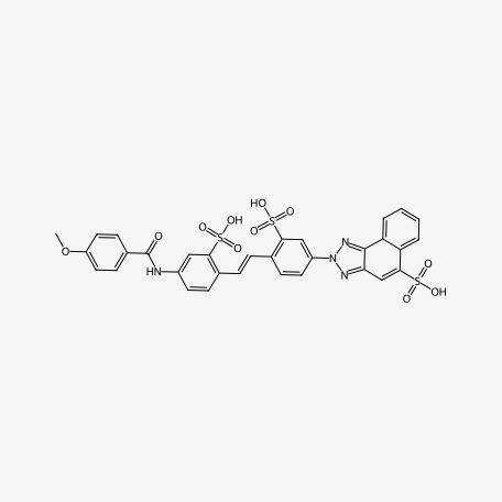 COc1ccc(C(=O)Nc2ccc(/C=C/c3ccc(-n4nc5cc(S(=O)(=O)O)c6ccccc6c5n4)cc3S(=O)(=O)O)c(S(=O)(=O)O)c2)cc1